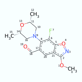 COc1noc2c(F)c(N3C[C@@H](C)O[C@@H](C)C3)c(C=O)cc12